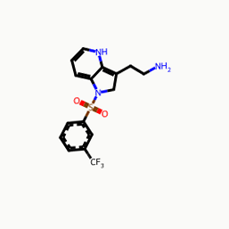 NCCC1=C2NC=CC=C2N(S(=O)(=O)c2cccc(C(F)(F)F)c2)C1